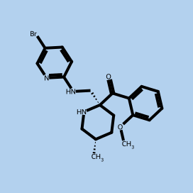 COc1ccccc1C(=O)[C@@]1(CNc2ccc(Br)cn2)CC[C@H](C)CN1